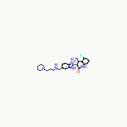 Nc1c(-c2nc3ccc(CNCCCN4CCCCC4)cc3[nH]2)c(=O)[nH]c2cccc(F)c12